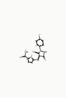 O=C1NN(c2ccc(I)cc2)C(=O)C1=Cc1ccc(C(=O)O)o1